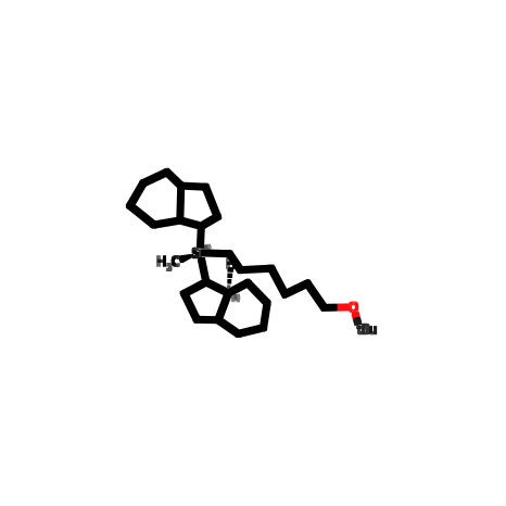 CC(C)(C)OCCCCCC[Si@@](C)(C1CCC2CCCCC21)C1CCC2CCCC[C@@H]21